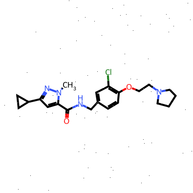 Cn1nc(C2CC2)cc1C(=O)NCc1ccc(OCCN2CCCC2)c(Cl)c1